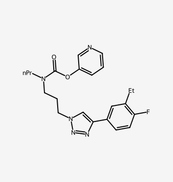 CCCN(CCCn1cc(-c2ccc(F)c(CC)c2)nn1)C(=O)Oc1cccnc1